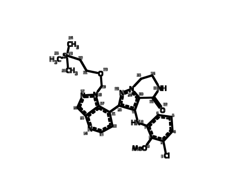 COc1c(Cl)cccc1Nc1c(-c2ccnc3cnn(COCC[Si](C)(C)C)c23)nn2c1C(=O)NCC2